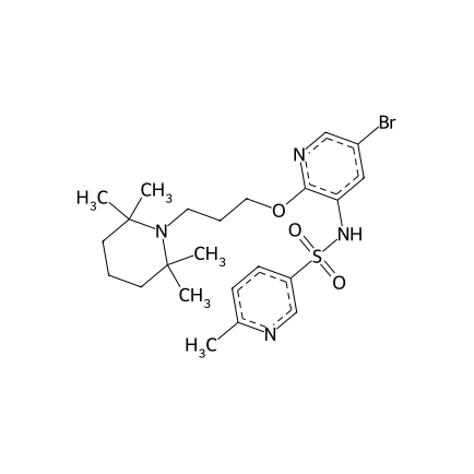 Cc1ccc(S(=O)(=O)Nc2cc(Br)cnc2OCCCN2C(C)(C)CCCC2(C)C)cn1